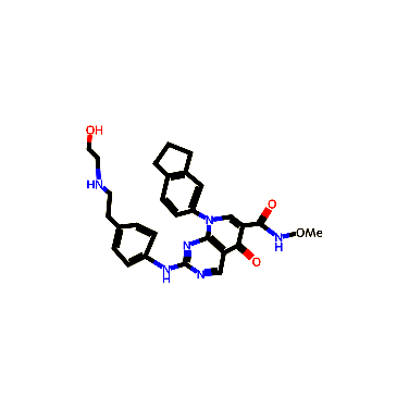 CONC(=O)c1cn(-c2ccc3c(c2)CCC3)c2nc(Nc3ccc(CCNCCO)cc3)ncc2c1=O